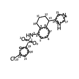 O=S(=O)(Nc1cccc2c1CCCC2c1cnc[nH]1)c1ccc(Cl)s1